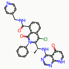 C[C@H](Nc1ncnc2[nH]ccc(=O)c12)c1c(Cl)c2cccc(C(=O)NCc3ccncc3)c2c(=O)n1-c1ccccc1